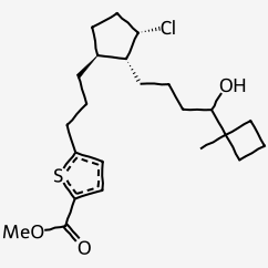 COC(=O)c1ccc(CCC[C@H]2CC[C@H](Cl)[C@@H]2CCCC(O)C2(C)CCC2)s1